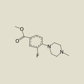 COC(=O)c1ccc(N2CCN(C)CC2)c(F)c1